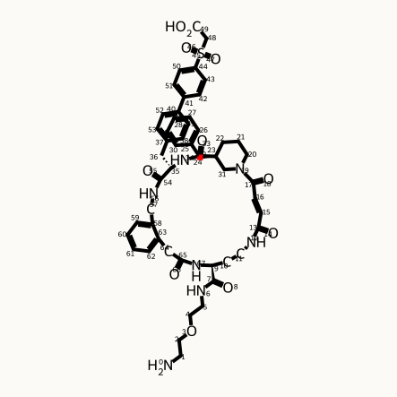 NCCOCCNC(=O)[C@@H]1CCNC(=O)/C=C/C(=O)N2CCC[C@](Cc3ccccc3)(C2)C(=O)N[C@@H](Cc2ccc(-c3ccc(S(=O)(=O)CC(=O)O)cc3)cc2)C(=O)NCc2ccccc2CC(=O)N1